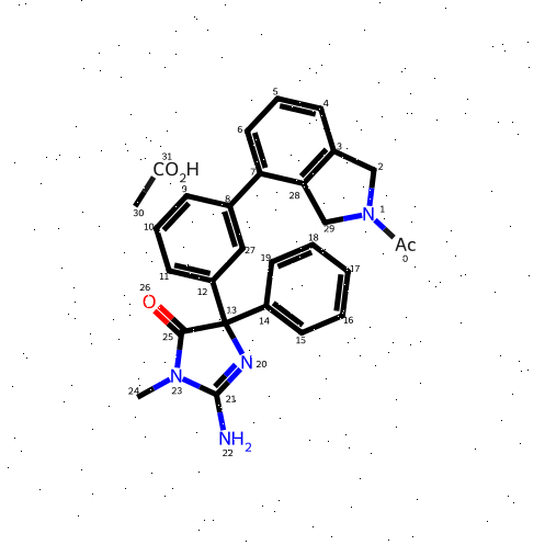 CC(=O)N1Cc2cccc(-c3cccc(C4(c5ccccc5)N=C(N)N(C)C4=O)c3)c2C1.CC(=O)O